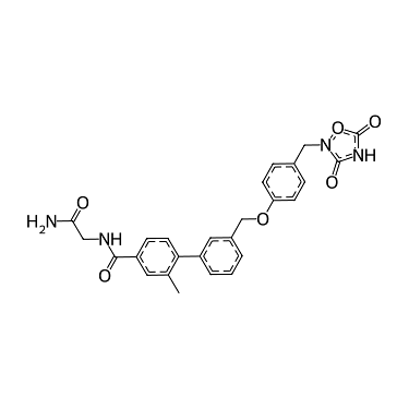 Cc1cc(C(=O)NCC(N)=O)ccc1-c1cccc(COc2ccc(Cn3oc(=O)[nH]c3=O)cc2)c1